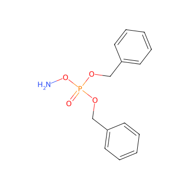 NOP(=O)(OCc1ccccc1)OCc1ccccc1